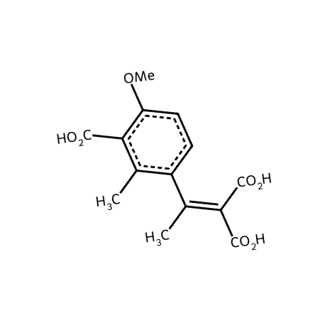 COc1ccc(C(C)=C(C(=O)O)C(=O)O)c(C)c1C(=O)O